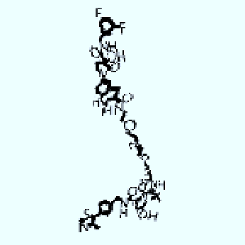 Cc1ncsc1-c1ccc(CNC(=O)[C@@H]2C[C@@H](O)CN2C(=O)[C@@H](NC(=O)COCCOCCOCCOCCNC(=O)c2cc3cc(N4CCC(O)(C(=O)NCc5cc(F)cc(F)c5)C4=O)ccc3[nH]2)C(C)(C)C)cc1